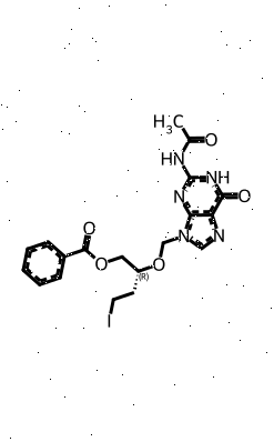 CC(=O)Nc1nc2c(ncn2CO[C@H](CCI)COC(=O)c2ccccc2)c(=O)[nH]1